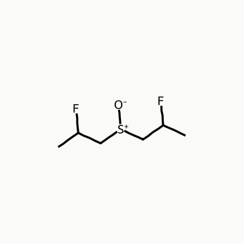 CC(F)C[S+]([O-])CC(C)F